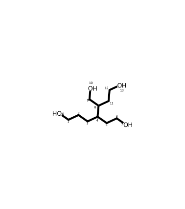 OCCC[C](CCO)C(CO)CCO